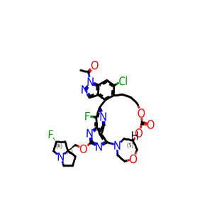 CC(=O)n1ncc2c3c(c(Cl)cc21)CCCOC(=O)O[C@@H]1COCCN(C1)c1nc(OC[C@@]24CCCN2C[C@H](F)C4)nc2c(F)c-3ncc12